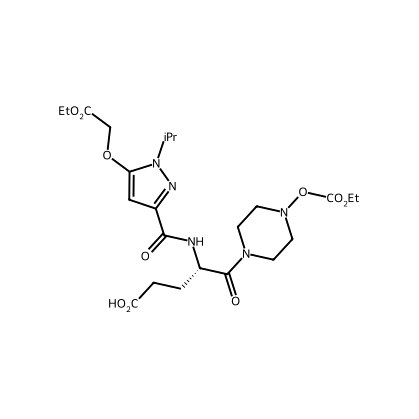 CCOC(=O)COc1cc(C(=O)N[C@@H](CCC(=O)O)C(=O)N2CCN(OC(=O)OCC)CC2)nn1C(C)C